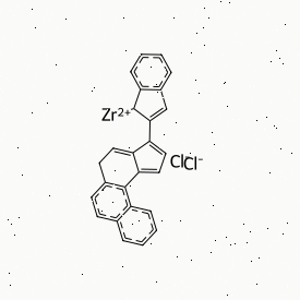 [Cl-].[Cl-].[Zr+2][CH]1C(C2=CC=C3C2=CCc2ccc4ccccc4c23)=Cc2ccccc21